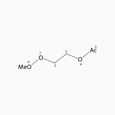 COOCCOC(C)=O